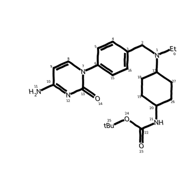 CCN(Cc1ccc(-n2ccc(N)nc2=O)cc1)C1CCC(NC(=O)OC(C)(C)C)CC1